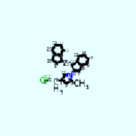 Cc1cc(C)n(C2=Cc3ccccc3[CH]2[Zr+2][CH]2C=Cc3ccccc32)c1.[Cl-].[Cl-]